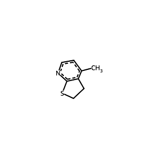 Cc1ccnc2c1CCS2